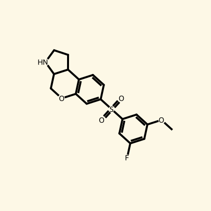 COc1cc(F)cc(S(=O)(=O)c2ccc3c(c2)OCC2NCCC32)c1